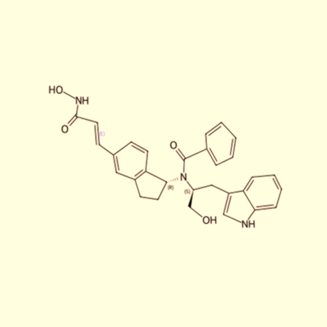 O=C(/C=C/c1ccc2c(c1)CC[C@H]2N(C(=O)c1ccccc1)[C@H](CO)Cc1c[nH]c2ccccc12)NO